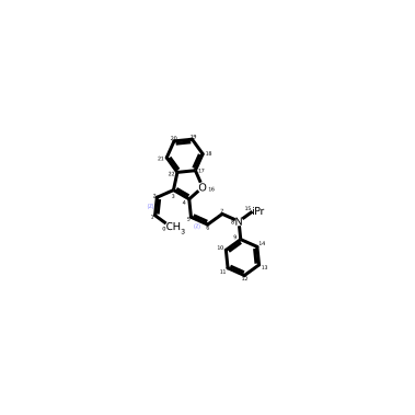 C/C=C\c1c(/C=C\CN(c2ccccc2)C(C)C)oc2ccccc12